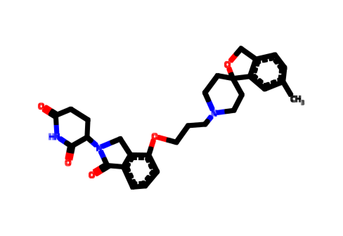 Cc1ccc2c(c1)C1(CCN(CCCOc3cccc4c3CN(C3CCC(=O)NC3=O)C4=O)CC1)OC2